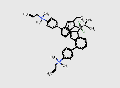 C=CC[N+](C)(C)c1ccc(-c2cccc3c2C=C(CC)[CH]3[Zr]([Cl])([Cl])([CH]2C(CC)=Cc3c(-c4ccc([N+](C)(C)CC=C)cc4)cccc32)[SiH](C)C)cc1